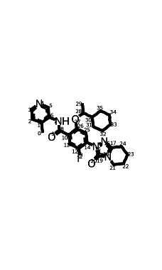 Cc1ccncc1NC(=O)c1cc(F)c(-n2nc3n(c2=O)CCCC3)cc1OC(C)C1CCCCC1